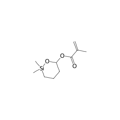 C=C(C)C(=O)OC1CCC[Si](C)(C)O1